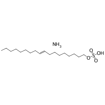 CCCCCCCCC=CCCCCCCCCOS(=O)(=O)O.N